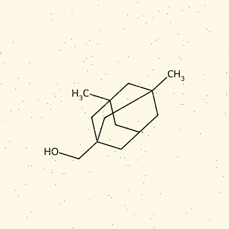 CC12C[C]3CC(C)(C1)CC(CO)(C3)C2